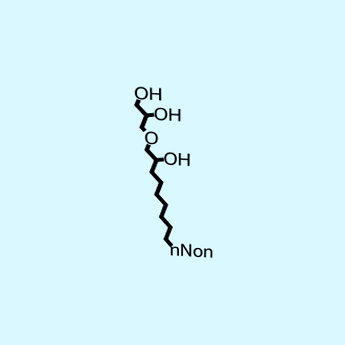 CCCCCCCCCCCCCCCCC(O)COCC(O)CO